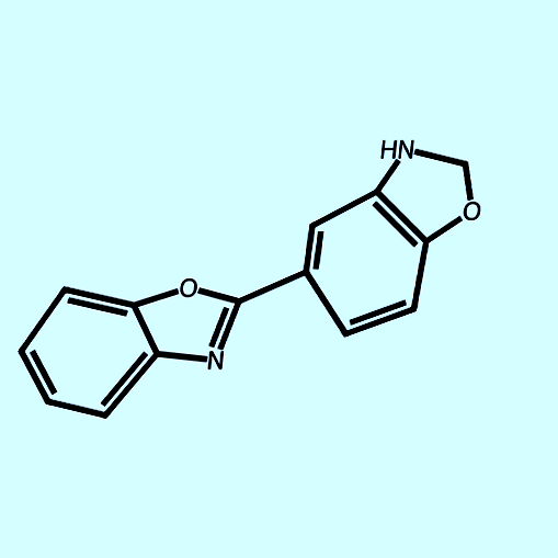 c1ccc2oc(-c3ccc4c(c3)NCO4)nc2c1